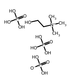 C[N+](C)(C)CCO.O=P(O)(O)O.O=P(O)(O)O.O=P([O-])(O)O